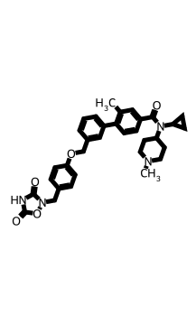 Cc1cc(C(=O)N(C2CC2)C2CCN(C)CC2)ccc1-c1cccc(COc2ccc(Cn3oc(=O)[nH]c3=O)cc2)c1